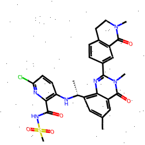 Cc1cc([C@@H](C)Nc2ccc(Cl)nc2C(=O)NS(C)(=O)=O)c2nc(-c3ccc4c(c3)C(=O)N(C)CC4)n(C)c(=O)c2c1